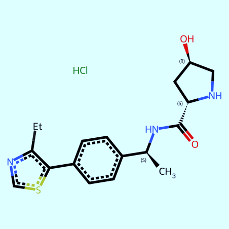 CCc1ncsc1-c1ccc([C@H](C)NC(=O)[C@@H]2C[C@@H](O)CN2)cc1.Cl